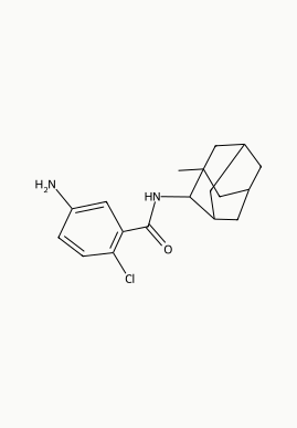 CC12CC3CC(CC(C3)C1NC(=O)c1cc(N)ccc1Cl)C2